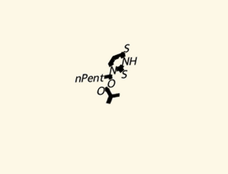 C=C(C)C(=O)OC(CCCCC)n1ccc(=S)[nH]c1=S